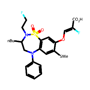 CCCCC1CN(c2ccccc2)c2cc(SC)c(O/C=C(\F)C(=O)O)cc2S(=O)(=O)N1CCF